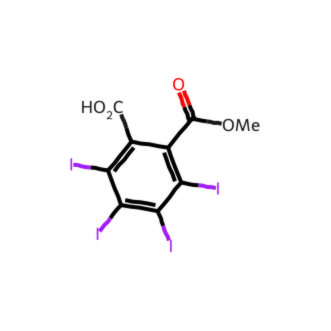 COC(=O)c1c(I)c(I)c(I)c(I)c1C(=O)O